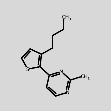 CCCCc1ccsc1-c1ccnc(C)n1